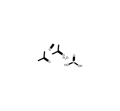 C=O.CC(C)=O.CC(C)=O.O.O=S(O)O